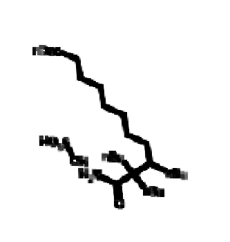 CCCCCCCCCCCCCCCCCC(CCCC)C(CCCC)(CCCC)C(N)=O.O=S(=O)(O)O